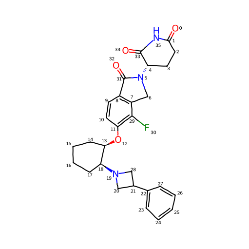 O=C1CC[C@H](N2Cc3c(ccc(O[C@@H]4CCCC[C@@H]4N4CC(c5ccccc5)C4)c3F)C2=O)C(=O)N1